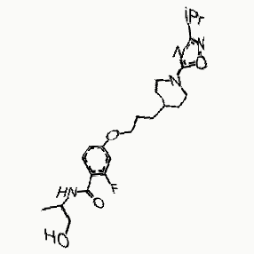 CC(CO)NC(=O)c1ccc(OCCCC2CCN(c3nc(C(C)C)no3)CC2)cc1F